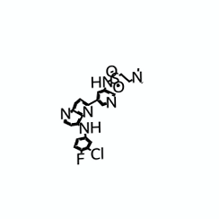 CN(C)CCS(=O)(=O)Nc1cncc(-c2ccc3nccc(Nc4ccc(F)c(Cl)c4)c3n2)c1